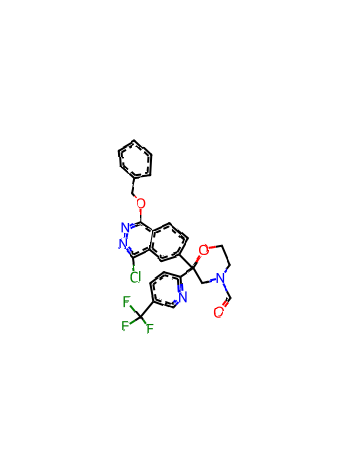 O=CN1CCOC(c2ccc3c(OCc4ccccc4)nnc(Cl)c3c2)(c2ccc(C(F)(F)F)cn2)C1